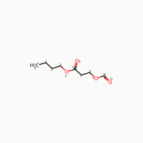 CCCCOC(=O)CCOC=O